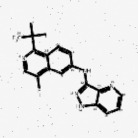 CC(C)(c1ncc(F)c2cc(Nc3n[nH]c4cccnc34)ccc12)C(F)(F)F